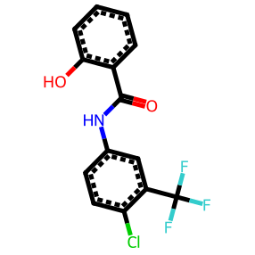 O=C(Nc1ccc(Cl)c(C(F)(F)F)c1)c1ccccc1O